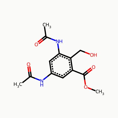 COC(=O)c1cc(NC(C)=O)cc(NC(C)=O)c1CO